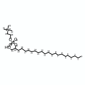 CCCCCCCCCCCCCCCCCCCCC(CO)OP(=O)([O-])OCC[N+](C)(C)C